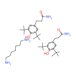 CC(C)(C)c1cc(CCC(N)=O)cc(C(C)(C)C)c1O.CC(C)(C)c1cc(CCC(N)=O)cc(C(C)(C)C)c1O.NCCCCCCCN